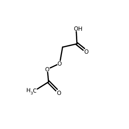 CC(=O)OOCC(=O)O